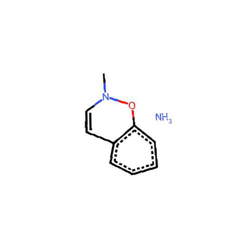 CN1C=Cc2ccccc2O1.N